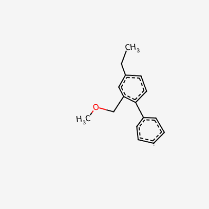 CCc1ccc(-c2cc[c]cc2)c(COC)c1